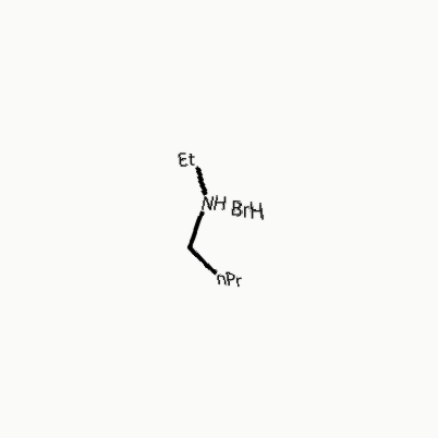 Br.CCCCNCC